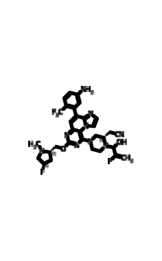 C=C(F)C(O)N1CCN(c2nc(OC[C@@H]3C[C@@H](F)CN3C)nc3cc(-c4cc(N)ccc4C(F)(F)F)c4nccn4c23)C[C@@H]1CC#N